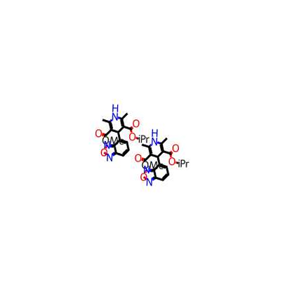 COC(=O)C1=C(C)NC(C)=C(C(=O)OC(C)C)C1c1cccc2nonc12.COC(=O)C1=C(C)NC(C)=C(C(=O)OC(C)C)C1c1cccc2nonc12